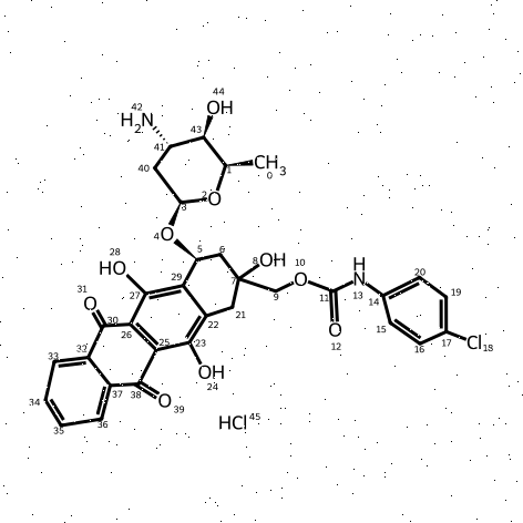 C[C@H]1O[C@@H](O[C@H]2CC(O)(COC(=O)Nc3ccc(Cl)cc3)Cc3c(O)c4c(c(O)c32)C(=O)c2ccccc2C4=O)C[C@H](N)[C@H]1O.Cl